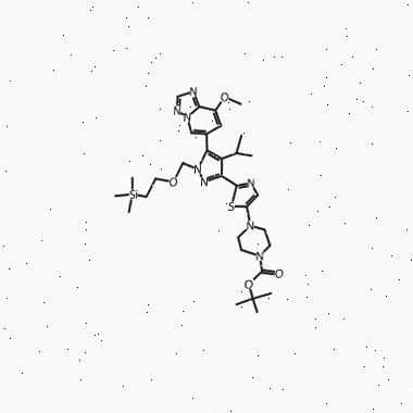 COc1cc(-c2c(C(C)C)c(-c3ncc(N4CCN(C(=O)OC(C)(C)C)CC4)s3)nn2COCC[Si](C)(C)C)cn2ncnc12